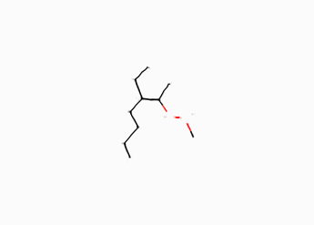 CCCCC(CC)C(C)OOC